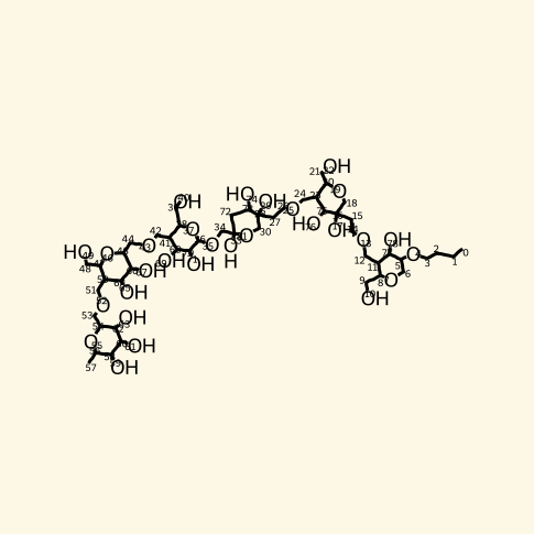 CCCCOC1COC(CO)C(COCCC2(O)COC(CO)C(COCCC3(O)COC(O)(COC4OC(CO)C(COCC5OC(CO)C(COCC6OC(C)C(O)C(O)C6O)C(O)C5O)C(O)C4O)CC3O)C2O)C1O